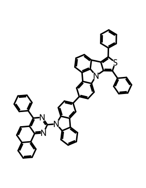 c1ccc(-c2nc(-n3c4ccccc4c4cc(-c5ccc6c(c5)c5cccc7c8c(-c9ccccc9)sc(-c9ccccc9)c8n6c57)ccc43)nc3c2ccc2ccccc23)cc1